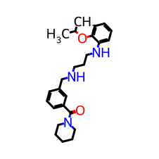 CC(C)Oc1ccccc1NCCCNCc1cccc(C(=O)N2CCCCC2)c1